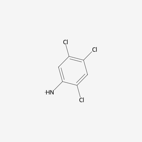 [NH]c1cc(Cl)c(Cl)cc1Cl